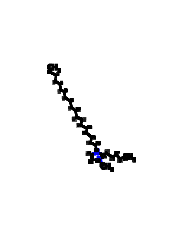 CCCCCCCCCCCCCCCCCCCN1C=CN(C)C1CCCCC